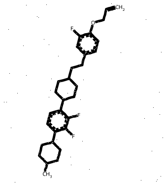 C=CCOc1ccc(CCC2CCC(c3ccc(C4CCC(C)CC4)c(F)c3F)CC2)cc1F